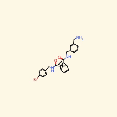 NCc1cccc(CNC(=O)[C@@H]2C3C=CC([C@H]2C(=O)NCc2ccc(Br)cc2)C32CC2)c1